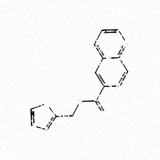 O=C(NCc1cccs1)c1ccc2ncccc2c1